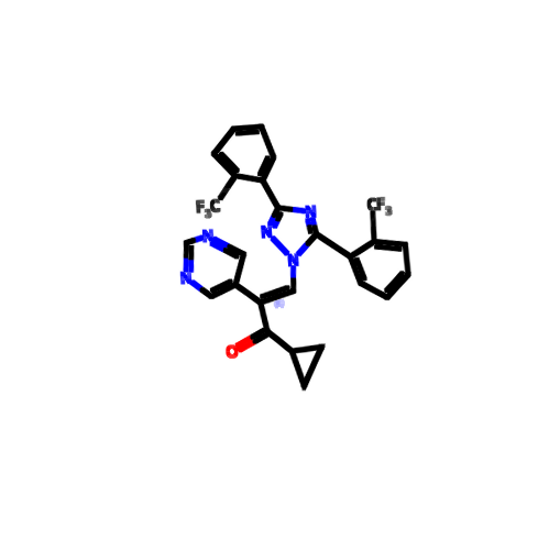 O=C(/C(=C/n1nc(-c2ccccc2C(F)(F)F)nc1-c1ccccc1C(F)(F)F)c1cncnc1)C1CC1